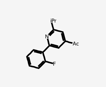 CC(=O)c1cc(-c2ccccc2F)nc(C(C)C)c1